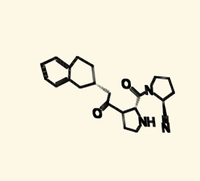 N#C[C@@H]1CCCN1C(=O)[C@@H]1NCCC1C(=O)C[C@H]1CCc2ccccc2C1